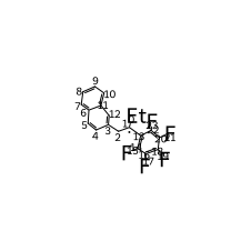 CC[C](Cc1ccc2ccccc2c1)c1c(F)c(F)c(F)c(F)c1F